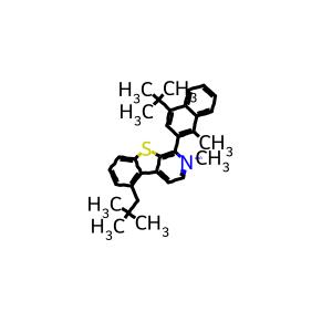 Cc1c(-c2c3sc4cccc(CC(C)(C)C)c4c3cc[n+]2C)cc(C(C)(C)C)c2ccccc12